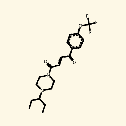 CCC(CC)N1CCN(C(=O)C=CC(=O)c2ccc(OC(F)(F)F)cc2)CC1